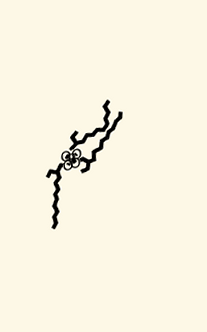 CCCCCCCCCCC(CC)COP(=O)(OCC(CC)CCCCCCCCCC)OCC(CC)CCCCCCCCCC